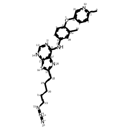 Cc1ccc(Oc2ccc(Nc3ncnc4sc(CCCCCN=[N+]=[N-])nc34)cc2C)cn1